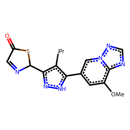 COc1cc(-c2[nH]nc(C3N=CC(=O)S3)c2C(C)C)cn2ncnc12